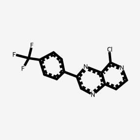 FC(F)(F)c1ccc(-c2cnc3ccnc(Cl)c3n2)cc1